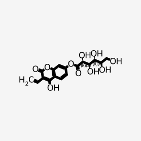 C=Cc1c(O)c2ccc(OC(=O)[C@H](O)[C@@H](O)[C@H](O)[C@H](O)CO)cc2oc1=O